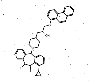 O[C@@H](COc1cccc2c1ccc1ccccc12)CN1CCN(C2c3ccccc3C(F)C(F)c3c(C4CC4)cccc32)CC1